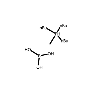 CCCC[PH](C)(CCCC)CCCC.OB(O)O